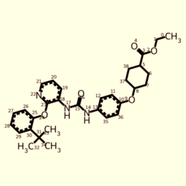 CCOC(=O)C1CCC(Oc2ccc(NC(=O)Nc3cccnc3Oc3ccccc3C(C)(C)C)cc2)CC1